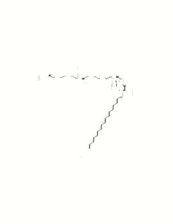 CC(C)C(=O)COCCOCCNC(=O)COCCOCCNC(=O)[C@H](C)NC(=O)[C@H](C)NC(=O)CCCCCCCCCCCCCCCCC(=O)O